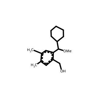 COC(c1cc(C)c(C)cc1CO)C1CCCCC1